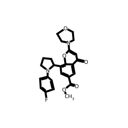 COC(=O)c1cc(C2CCCN2c2ccc(F)cc2)c2oc(N3CCOCC3)cc(=O)c2c1